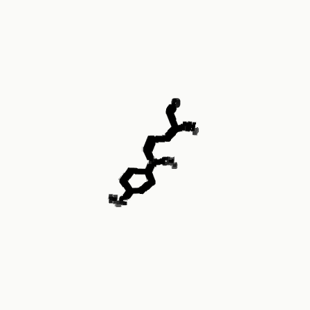 CC1CCC(N(C)/C=C\C=C(\N)C=O)CC1